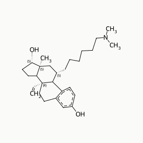 C=C[C@@]12CCc3cc(O)ccc3C1[C@@H](CCCCCCN(C)C)C[C@@]1(C)C2CC[C@@H]1O